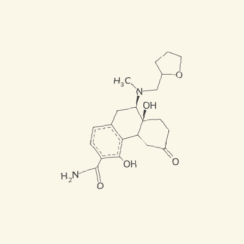 CN(CC1CCCO1)[C@@H]1Cc2ccc(C(N)=O)c(O)c2C2CC(=O)CC[C@]21O